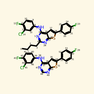 CCCCc1nc(Nc2ccc(F)c(Cl)c2)c2cc(-c3ccc(F)cc3)sc2n1.Fc1ccc(-c2cc3c(Nc4ccc(F)c(Cl)c4)ncnc3s2)cc1